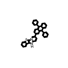 C1=CC2Nc3c(sc4ccccc34)N2C=C1c1ccc2c(-c3ccccc3)c3ccccc3c(-c3ccccc3)c2c1